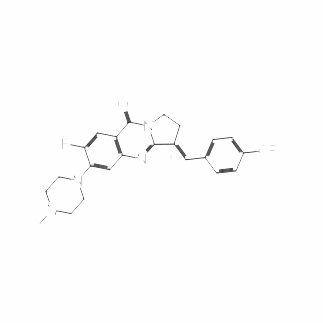 CN1CCN(c2cc3nc4n(c(=O)c3cc2F)CC/C4=C\c2ccc(C(F)(F)F)cc2)CC1